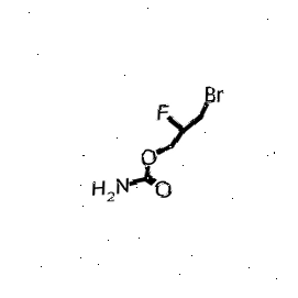 NC(=O)OCC(F)CBr